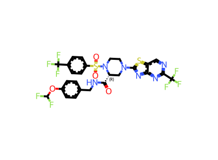 O=C(NCc1ccc(OC(F)F)cc1)[C@H]1CN(c2nc3nc(C(F)(F)F)ncc3s2)CCN1S(=O)(=O)c1ccc(C(F)(F)F)cc1